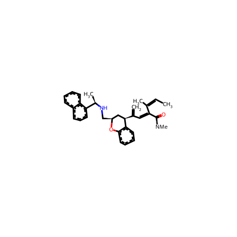 C=C(/C=C(C(=O)NC)\C(C)=C/C)[C@@H]1C[C@H](CN[C@H](C)c2cccc3ccccc23)Oc2ccccc21